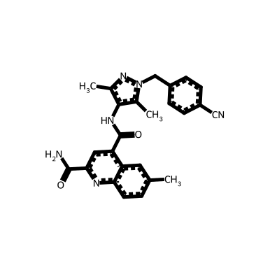 Cc1ccc2nc(C(N)=O)cc(C(=O)Nc3c(C)nn(Cc4ccc(C#N)cc4)c3C)c2c1